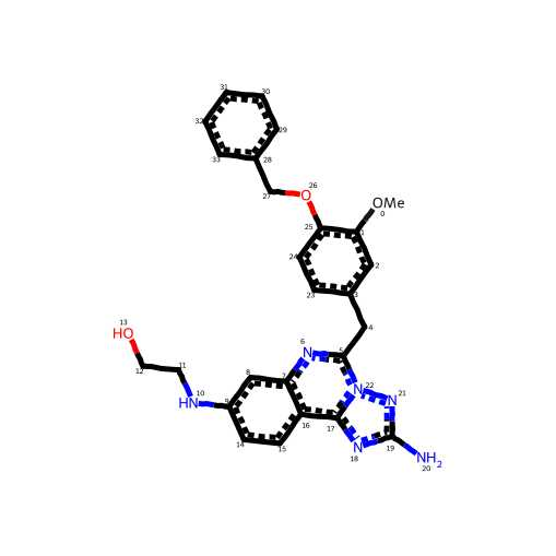 COc1cc(Cc2nc3cc(NCCO)ccc3c3nc(N)nn23)ccc1OCc1ccccc1